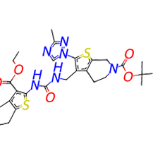 CCOC(=O)c1c(NC(=O)NCc2c(-n3cnc(C)n3)sc3c2CCN(C(=O)OC(C)(C)C)C3)sc2c1CCCC2